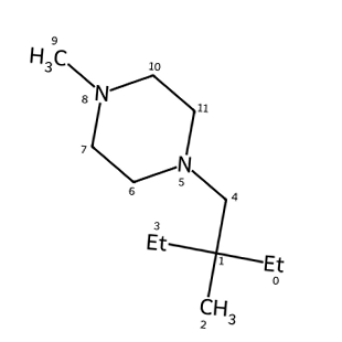 CCC(C)(CC)CN1CCN(C)CC1